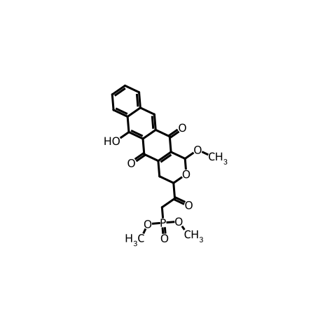 COC1OC(C(=O)CP(=O)(OC)OC)CC2=C1C(=O)c1cc3ccccc3c(O)c1C2=O